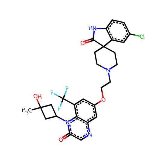 CC1(O)CC(n2c(=O)cnc3cc(OCCN4CCC5(CC4)C(=O)Nc4ccc(Cl)cc45)cc(C(F)(F)F)c32)C1